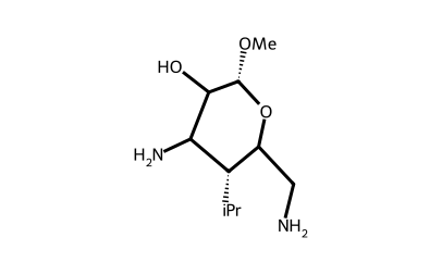 CO[C@@H]1OC(CN)[C@H](C(C)C)C(N)C1O